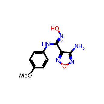 COc1ccc(N/C(=N\O)c2nonc2N)cc1